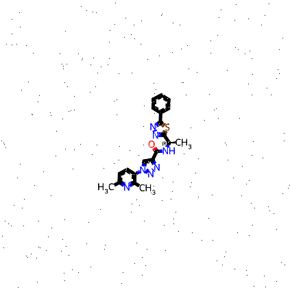 Cc1ccc(-n2cc(C(=O)N[C@H](C)c3nnc(-c4ccccc4)s3)nn2)c(C)n1